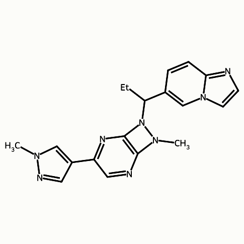 CCC(c1ccc2nccn2c1)n1c2nc(-c3cnn(C)c3)cnc2n1C